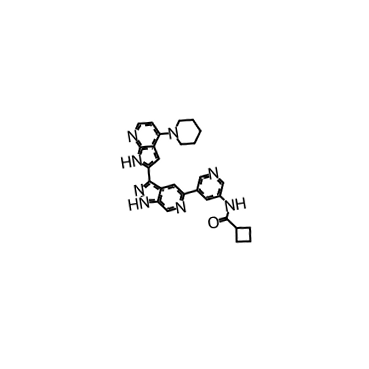 O=C(Nc1cncc(-c2cc3c(-c4cc5c(N6CCCCC6)ccnc5[nH]4)n[nH]c3cn2)c1)C1CCC1